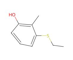 CCSc1cccc(O)c1C